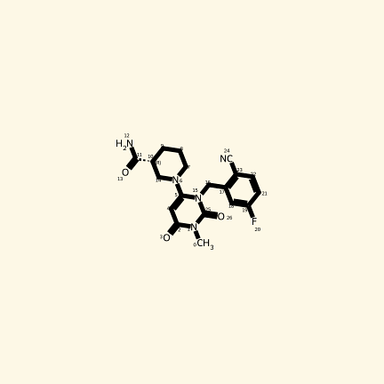 Cn1c(=O)cc(N2CCC[C@@H](C(N)=O)C2)n(Cc2cc(F)ccc2C#N)c1=O